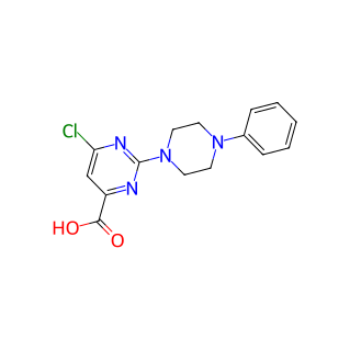 O=C(O)c1cc(Cl)nc(N2CCN(c3ccccc3)CC2)n1